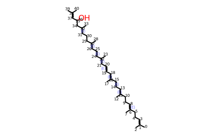 CC(C)=CCC/C(C)=C/CC/C(C)=C/C=C/C(C)=C/C=C/C=C(C)/C=C/C=C(\C)CC/C=C(\C)CC(O)C=C(C)C